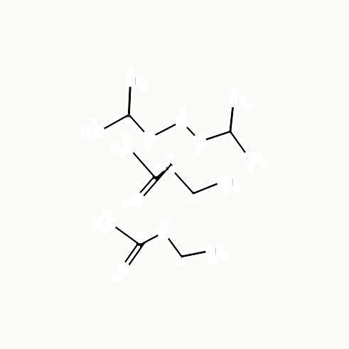 CC(C)[O][Ti][O]C(C)C.CCOC(C)=O.CCOC(C)=O